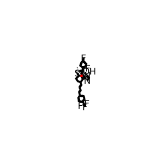 C[C@@H](SC1CCC(C=CC=Cc2ccc(C(F)(F)F)cc2)CC1)[C@](O)(Cn1cncn1)c1ccc(F)cc1F